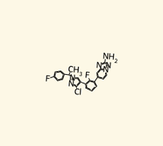 CC(c1ccc(F)cc1)n1cc(-c2cccc(-c3ccn4nc(N)nc4c3)c2F)c(Cl)n1